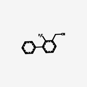 N#CCc1cccc(-c2ccccc2)c1C(F)(F)F